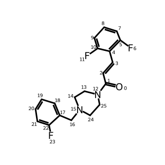 O=C(C=Cc1c(F)cccc1F)N1CCN(Cc2ccccc2F)CC1